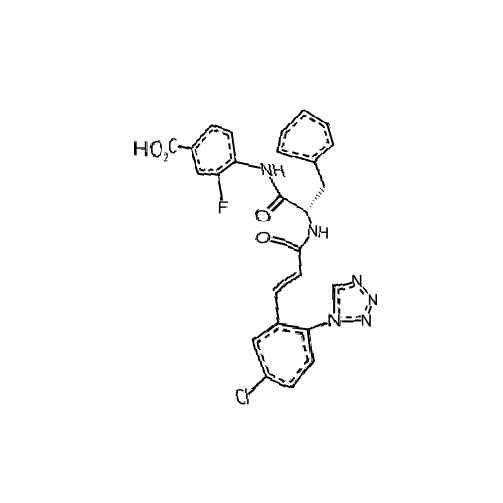 O=C(C=Cc1cc(Cl)ccc1-n1cnnn1)N[C@@H](Cc1ccccc1)C(=O)Nc1ccc(C(=O)O)cc1F